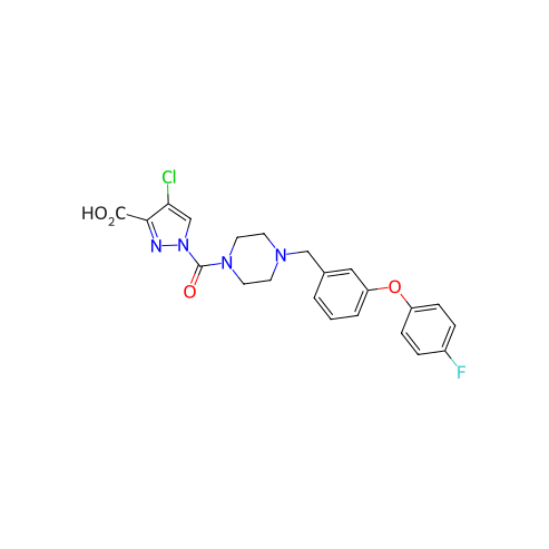 O=C(O)c1nn(C(=O)N2CCN(Cc3cccc(Oc4ccc(F)cc4)c3)CC2)cc1Cl